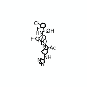 CC(=O)c1cn(CC(=O)N2C[C@H](F)C[C@H]2C(=O)N[C@@H](CO)c2cccc(Cl)c2F)c2ccc(Nc3cncnc3)cc12